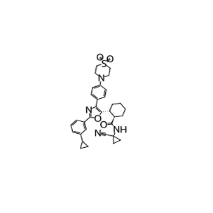 N#CC1(NC(=O)[C@@H]2CCCC[C@H]2c2oc(-c3cccc(C4CC4)c3)nc2-c2ccc(N3CCS(=O)(=O)CC3)cc2)CC1